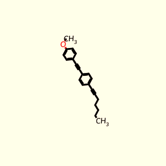 CCCCCC#Cc1ccc(C#Cc2ccc(OC)cc2)cc1